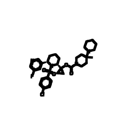 CC1(N2CCCCC2)CCN(C(=O)OC2([C@H]3CCC[C@@H](c4cncc(F)c4)N3S(=O)(=O)c3ccc(Cl)cc3)CC2)CC1